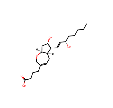 CCCCC[C@H](O)/C=C/[C@@H]1[C@H]2CC=C(CCCC(=O)O)CO[C@H]2C[C@H]1O